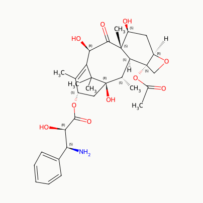 CC(=O)O[C@@]12CO[C@@H]1C[C@H](O)[C@@]1(C)C(=O)[C@H](O)C3=C(C)[C@@H](OC(=O)[C@H](O)[C@@H](N)c4ccccc4)C[C@@](O)([C@@H](C)[C@H]21)C3(C)C